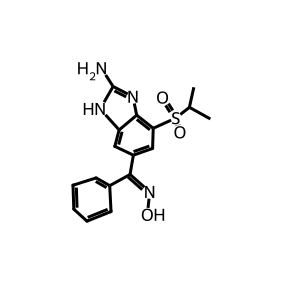 CC(C)S(=O)(=O)c1cc(C(=NO)c2ccccc2)cc2[nH]c(N)nc12